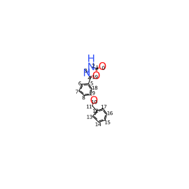 O=c1[nH]nc(-c2cccc(OCc3ccccc3)c2)o1